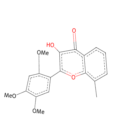 COc1cc(OC)c(-c2oc3c(C)cccc3c(=O)c2O)cc1OC